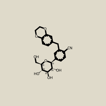 N#Cc1ccc([C@@H]2O[C@H](CO)[C@@H](O)[C@H](O)[C@H]2O)cc1Cc1ccc2c(c1)OCCO2